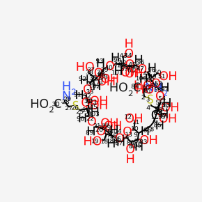 N[C@H](CSCC1C[C@@H]2C[C@@H]3C(CO)O[C@H](O[C@@H]4C(CO)O[C@H](O[C@@H]5C(CSC[C@@H](N)C(=O)O)O[C@H](O[C@@H]6C(CO)O[C@H](O[C@@H]7C(CO)O[C@H](O[C@@H]8C(CO)O[C@H](O[C@H]1[C@H](O)C2O)C(O)[C@H]8O)C(O)[C@H]7O)C(O)[C@H]6O)C(O)[C@H]5O)C(O)[C@H]4O)C(O)[C@H]3O)C(=O)O